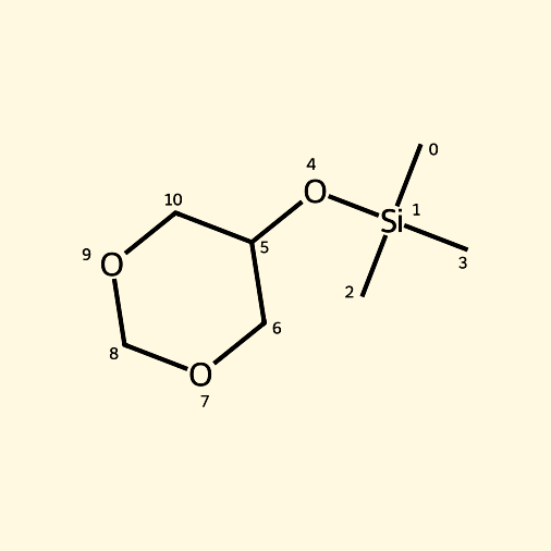 C[Si](C)(C)OC1COCOC1